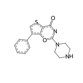 O=c1nc(N2CCNCC2)oc2c(-c3ccccc3)csc12